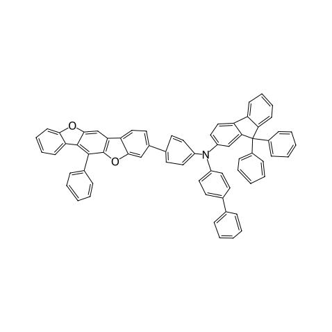 c1ccc(-c2ccc(N(c3ccc(-c4ccc5c(c4)oc4c(-c6ccccc6)c6c(cc45)oc4ccccc46)cc3)c3ccc4c(c3)C(c3ccccc3)(c3ccccc3)c3ccccc3-4)cc2)cc1